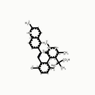 Cc1ccc2cc(/C=C/c3c(Cl)ccc(F)c3-c3c(C(C)(C)C(=O)O)c(C)nn(C)c3=O)ccc2n1